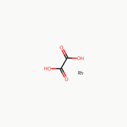 O=C(O)C(=O)O.[Rh]